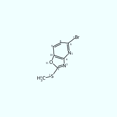 CSc1nc2nc(Br)ccc2o1